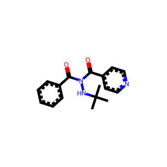 CC(C)(C)NN(C(=O)c1ccccc1)C(=O)c1ccncc1